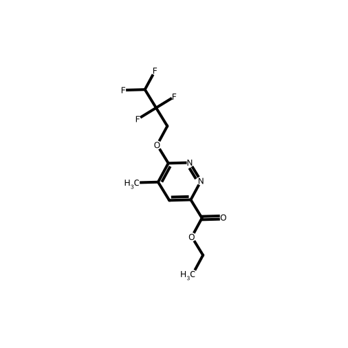 CCOC(=O)c1cc(C)c(OCC(F)(F)C(F)F)nn1